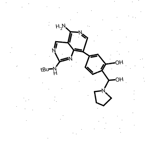 CC(C)(C)Nc1ncc2c(N)ncc(-c3ccc(C(O)N4CCCC4)c(O)c3)c2n1